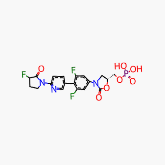 O=C1O[C@@H](COP(=O)(O)O)CN1c1cc(F)c(-c2ccc(N3CCC(F)C3=O)nc2)c(F)c1